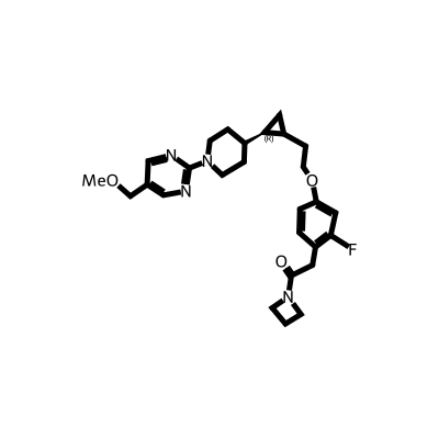 COCc1cnc(N2CCC([C@H]3CC3CCOc3ccc(CC(=O)N4CCC4)c(F)c3)CC2)nc1